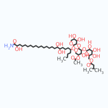 CCCCC(CCCC(O)C(O)CCCCCCCCCCCCCCC(O)C(N)=O)OC1OCC(O)C(O)C1OC1OCC(OC(C)=O)C(O)C1OC1OC(COC(=O)CC(C)C)C(O)C(O)C1O